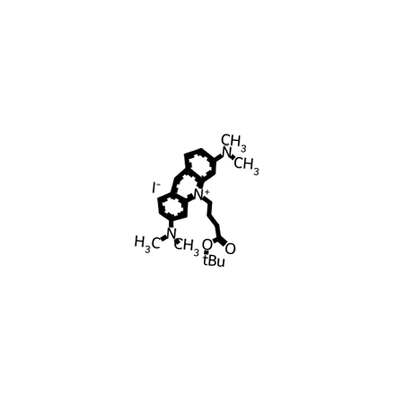 CN(C)c1ccc2cc3ccc(N(C)C)cc3[n+](CCCC(=O)OC(C)(C)C)c2c1.[I-]